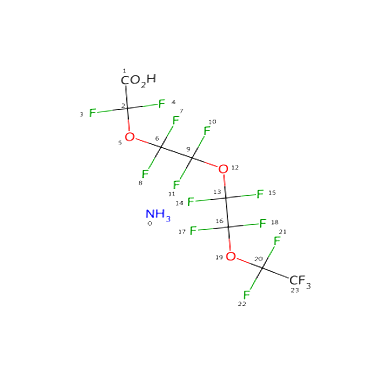 N.O=C(O)C(F)(F)OC(F)(F)C(F)(F)OC(F)(F)C(F)(F)OC(F)(F)C(F)(F)F